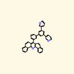 c1cncc(-c2cc(-c3cccnc3)cc(-c3cccc(-c4c5ccc6ccccc6c5nc5c4ccc4ccccc45)c3)c2)c1